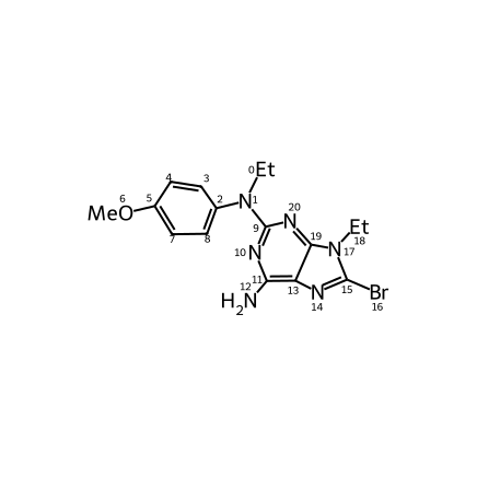 CCN(c1ccc(OC)cc1)c1nc(N)c2nc(Br)n(CC)c2n1